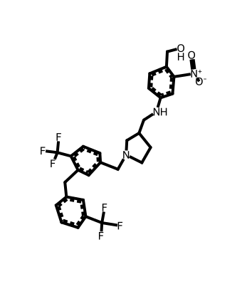 O=[N+]([O-])c1cc(NCC2CCN(Cc3ccc(C(F)(F)F)c(Cc4cccc(C(F)(F)F)c4)c3)C2)ccc1CO